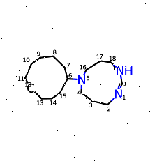 C1=NCCCN(C2CCCCCCCCC2)CCCN1